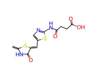 C=c1[nH]c(=O)/c(=C/c2cnc(NC(=O)CCC(=O)O)s2)s1